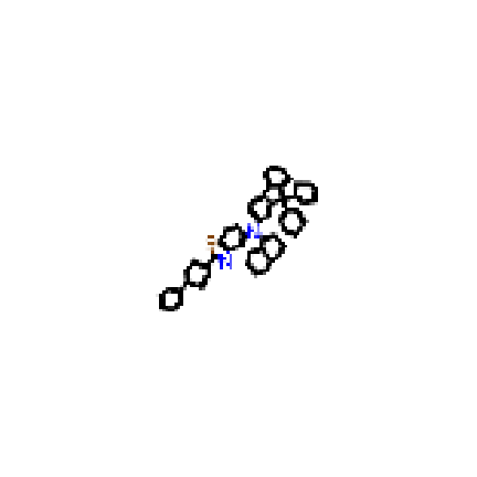 c1ccc(-c2ccc(-c3nc4cc(N(c5ccc6c(c5)C(c5ccccc5)(c5ccccc5)c5ccccc5-6)c5cccc6ccccc56)ccc4s3)cc2)cc1